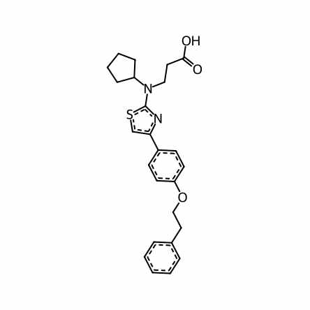 O=C(O)CCN(c1nc(-c2ccc(OCCc3ccccc3)cc2)cs1)C1CCCC1